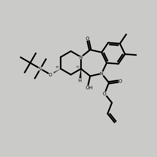 C=CCOC(=O)N1c2cc(C)c(C)cc2C(=O)N2CC[C@@H](O[Si](C)(C)C(C)(C)C)C[C@H]2C1O